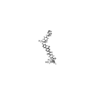 CC(Cc1ccc(-n2ccc(NC(=O)N3CCN(C(=O)C(C)(C)NC(=O)O)CC3)nc2=O)cc1)NC1CCC(CNC(=O)OC(C)(C)C)CC1